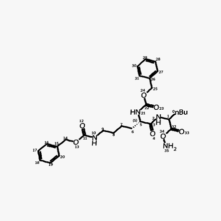 CCCCC(NC(=O)[C@H](CCCCNC(=O)OCc1ccccc1)NC(=O)OCc1ccccc1)C(=O)ON